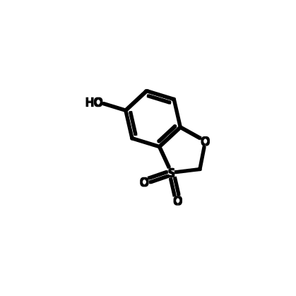 O=S1(=O)COc2ccc(O)cc21